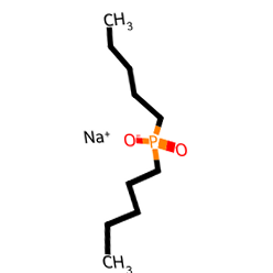 CCCCCP(=O)([O-])CCCCC.[Na+]